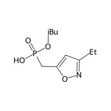 CCc1cc(CP(=O)(O)OC(C)CC)on1